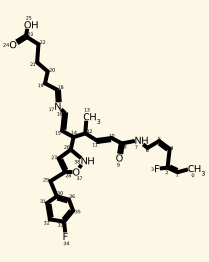 C/C=C(F)\C=C/CNC(=O)/C=C/C(C)C(/C=C/N=C/CCCCC(=O)O)C1C=C(Cc2ccc(F)cc2)ON1